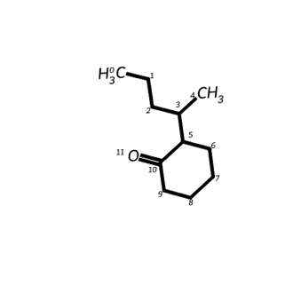 CCCC(C)C1CCCCC1=O